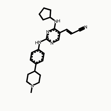 CN1CCC(c2ccc(Nc3ncc(C=CC#N)c(NC4CCCC4)n3)cc2)CC1